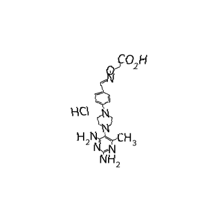 Cc1nc(N)nc(N)c1N1CCN(c2ccc(C=NOCC(=O)O)cc2)CC1.Cl